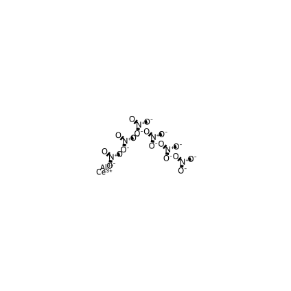 O=[N+]([O-])[O-].O=[N+]([O-])[O-].O=[N+]([O-])[O-].O=[N+]([O-])[O-].O=[N+]([O-])[O-].O=[N+]([O-])[O-].[Al+3].[Ce+3]